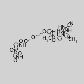 C[C@@H](NC(=O)c1cccc(NC2(C(=N)NC(=N)c3ccncc3)CCN(C)CC2)c1)c1cccc(OCCCCCOCCCOCC(=O)Nc2cccc3c2CN(C2CCC(=O)NC2=O)C3=O)c1